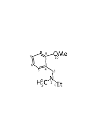 CCN(C)Cc1ccccc1OC